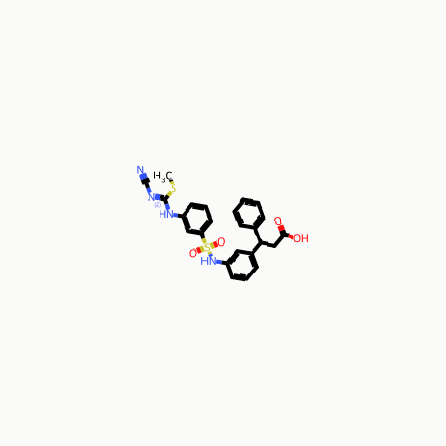 CS/C(=N\C#N)Nc1cccc(S(=O)(=O)Nc2cccc(C(CC(=O)O)c3ccccc3)c2)c1